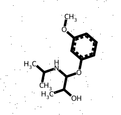 COc1cccc(OC(NC(C)C)C(C)O)c1